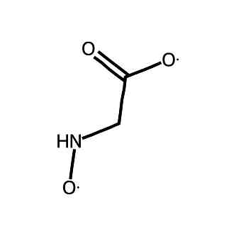 [O]NCC([O])=O